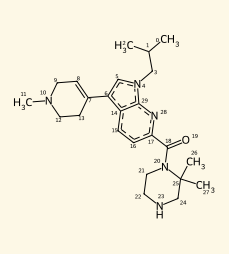 CC(C)Cn1cc(C2=CCN(C)CC2)c2ccc(C(=O)N3CCNCC3(C)C)nc21